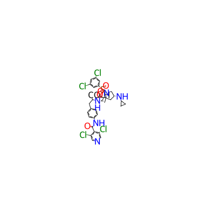 CC1(C(=O)N[C@@H](Cc2ccc(NC(=O)c3c(Cl)cncc3Cl)cc2)C(=O)O)C[C@@H](NC2CC2)CN1S(=O)(=O)c1cc(Cl)cc(Cl)c1